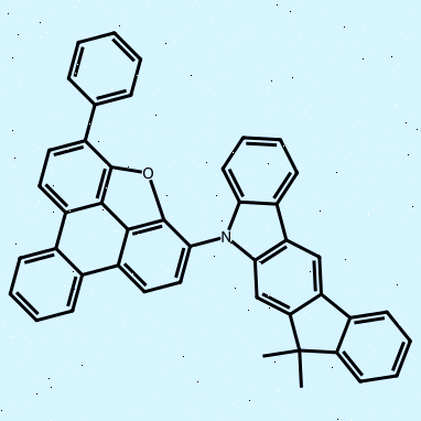 CC1(C)c2ccccc2-c2cc3c4ccccc4n(-c4ccc5c6ccccc6c6ccc(-c7ccccc7)c7oc4c5c76)c3cc21